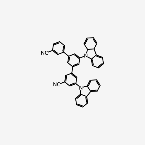 N#Cc1cccc(-c2cc(-c3cc(C#N)cc(-n4c5ccccc5c5ccccc54)c3)cc(N3c4ccccc4C4C=CC=CC43)c2)c1